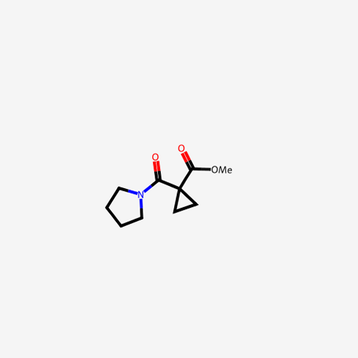 COC(=O)C1(C(=O)N2CCCC2)CC1